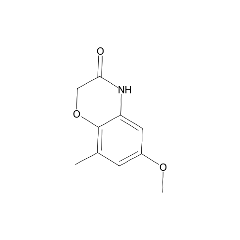 COc1cc(C)c2c(c1)NC(=O)CO2